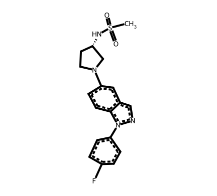 CS(=O)(=O)N[C@H]1CCN(c2ccc3c(cnn3-c3ccc(F)cc3)c2)C1